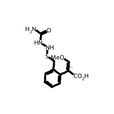 CO/C=C(/C(=O)O)c1ccccc1CSNNC(N)=O